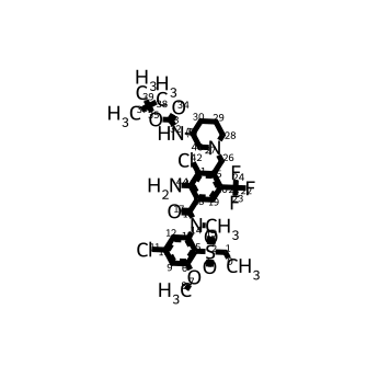 CCS(=O)(=O)c1c(OC)cc(Cl)cc1N(C)C(=O)c1cc(C(F)(F)F)c(CN2CCC[C@@H](NC(=O)OC(C)(C)C)C2)c(Cl)c1N